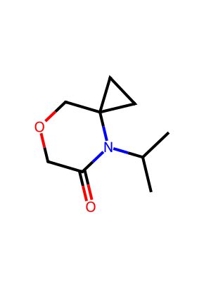 CC(C)N1C(=O)COCC12CC2